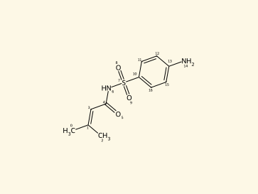 CC(C)=CC(=O)NS(=O)(=O)c1ccc(N)cc1